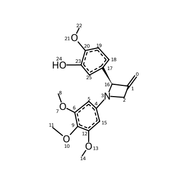 C=C1CN(c2cc(OC)c(OC)c(OC)c2)[C@H]1c1ccc(OC)c(O)c1